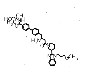 COCCCn1c(C2CCCN(C(=O)CC(N)Cc3ccc(-c4ccc(C(=O)NC(C)(C)CO)cc4)cc3)C2)nc2ccccc21